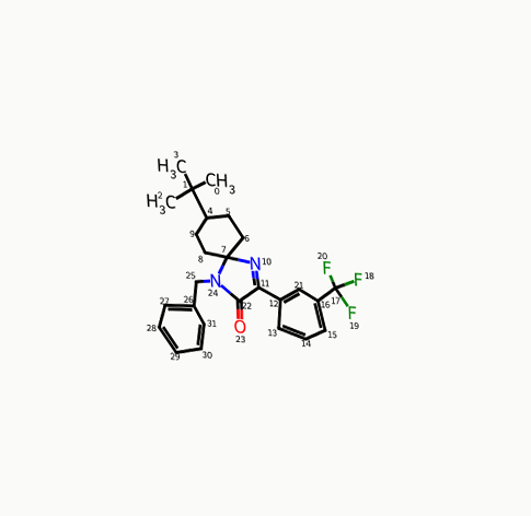 CC(C)(C)C1CCC2(CC1)N=C(c1cccc(C(F)(F)F)c1)C(=O)N2Cc1ccccc1